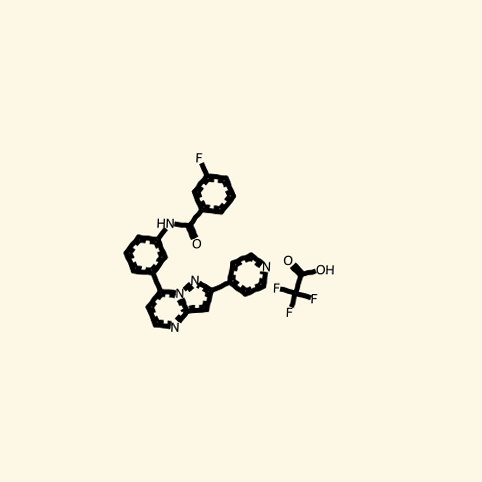 O=C(Nc1cccc(-c2ccnc3cc(-c4ccncc4)nn23)c1)c1cccc(F)c1.O=C(O)C(F)(F)F